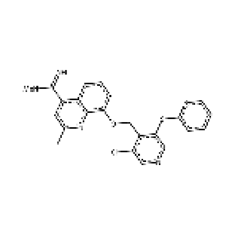 CNC(=N)c1cc(C)nc2c(OCc3c(Cl)cncc3Sc3ccccn3)cccc12